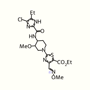 CCOC(=O)c1sc(N2CCC(NC(=O)c3nc(Cl)c(CC)[nH]3)C(OC)C2)nc1/C=N/OC